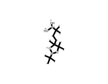 CC(C)(C)B1OC(C)(C)C(C)(CCC(C)(C)B(O)O)O1